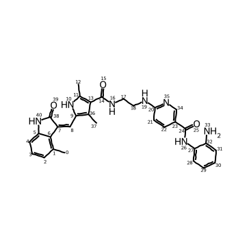 Cc1cccc2c1C(=Cc1[nH]c(C)c(C(=O)NCCNc3ccc(C(=O)Nc4ccccc4N)cn3)c1C)C(=O)N2